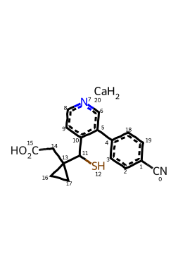 N#Cc1ccc(-c2cnccc2C(S)C2(CC(=O)O)CC2)cc1.[CaH2]